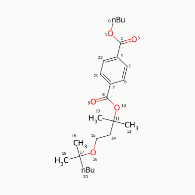 CCCCOC(=O)c1ccc(C(=O)OC(C)(C)CCOC(C)(C)CCCC)cc1